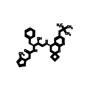 Cc1ccnn1CC(=O)N[C@@H](Cc1ccccc1)[C@@H](O)CN[C@H]1CC2(CCC2)Oc2ncc(CC(C)(C)C)cc21